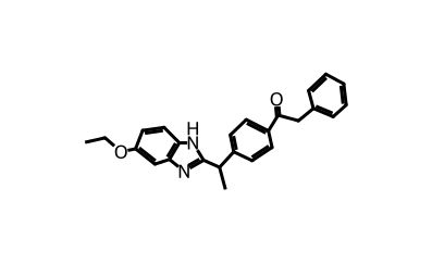 CCOc1ccc2[nH]c(C(C)c3ccc(C(=O)Cc4ccccc4)cc3)nc2c1